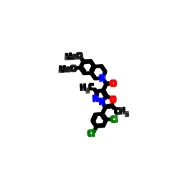 COc1cc2c(cc1OC)CN(C(=O)c1c(C)nn3c(-c4ccc(Cl)cc4Cl)c(C)oc13)CC2